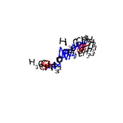 CC(C)N(CCN(c1ccc(-c2ccnc(Nc3cccc(CN4CCN(CC(=O)OC(C)(C)C)CC4)c3)n2)cn1)C(C)C)C(=O)OC(C)(C)C